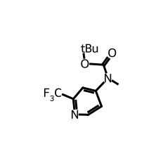 CN(C(=O)OC(C)(C)C)c1ccnc(C(F)(F)F)c1